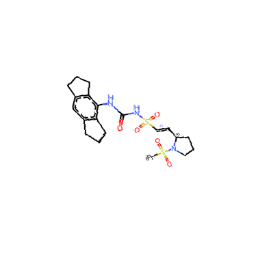 CC(C)S(=O)(=O)N1CCC[C@@H]1/C=C/S(=O)(=O)NC(=O)Nc1c2c(cc3c1CCC3)CCC2